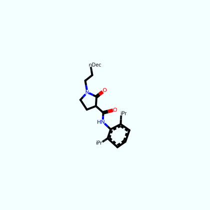 CCCCCCCCCCCCN1CCC(C(=O)Nc2c(C(C)C)cccc2C(C)C)C1=O